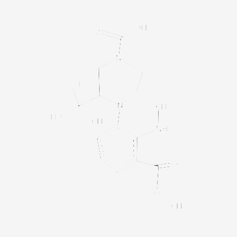 CNc1c(C(=O)OC)cccc1N1CCN(C(=O)O)CC1C(C)(C)C